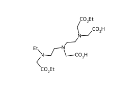 CCOC(=O)CN(CC)CCN(CCN(CC(=O)O)CC(=O)OCC)CC(=O)O